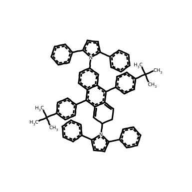 CC(C)(C)c1ccc(-c2c3c(c(-c4ccc(C(C)(C)C)cc4)c4cc(-n5c(-c6ccccc6)ccc5-c5ccccc5)ccc24)=CCC(n2c(-c4ccccc4)ccc2-c2ccccc2)C=3)cc1